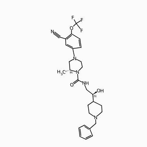 C[C@@H]1CN(c2ccc(OC(F)(F)F)c(C#N)c2)CCN1C(=O)NC[C@@H](O)C1CCN(Cc2ccccc2)CC1